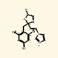 CCC1CSC(CCn2ccnc2)(Cc2c(Cl)cc(Cl)cc2Cl)S1